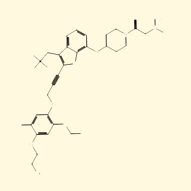 CN(C)CC(=O)N1CCC(Nc2cccc3c(CC(F)(F)F)c(C#CCNc4cc(F)c(NCCO)cc4OCF)sc23)CC1